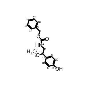 COC(CNC(=O)OCc1ccccc1)c1ccc(O)cc1